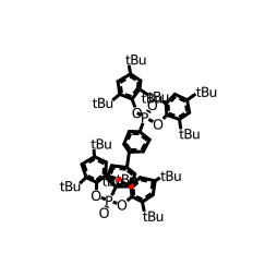 CC(C)(C)c1cc(C(C)(C)C)c(OP(=O)(Oc2c(C(C)(C)C)cc(C(C)(C)C)cc2C(C)(C)C)c2ccc(-c3ccc(P(=O)(Oc4c(C(C)(C)C)cc(C(C)(C)C)cc4C(C)(C)C)Oc4c(C(C)(C)C)cc(C(C)(C)C)cc4C(C)(C)C)cc3)cc2)c(C(C)(C)C)c1